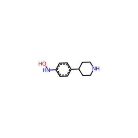 ONc1ccc(C2CCNCC2)cc1